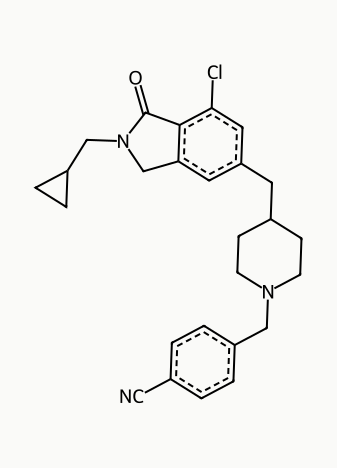 N#Cc1ccc(CN2CCC(Cc3cc(Cl)c4c(c3)CN(CC3CC3)C4=O)CC2)cc1